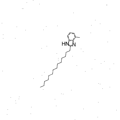 CCCCCCCCCCCCCCc1nc2c(C)cccc2[nH]1